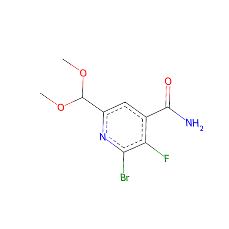 COC(OC)c1cc(C(N)=O)c(F)c(Br)n1